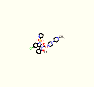 CCOc1ccccc1C1(NC(=O)ON2CCN(C3CCN(C)CC3)CC2)C(=O)N(S(=O)(=O)c2ccccn2)c2ccc(Cl)cc21